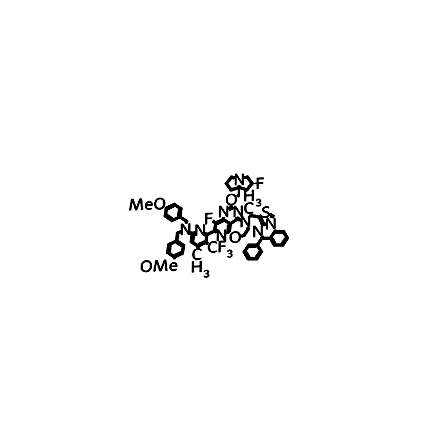 COc1ccc(CN(Cc2ccc(OC)cc2)c2cc(C)c(C(F)(F)F)c(-c3nc4c5c(nc(OC[C@@]67CCCN6C[C@H](F)C7)nc5c3F)N(C(C)c3scnc3N=C(c3ccccc3)c3ccccc3)CCO4)n2)cc1